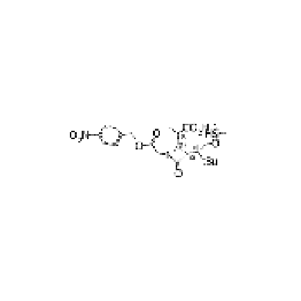 C[C@@H](C(=O)O)[C@@H]1[C@H]([C@@H](CO[SiH](C)C)C(C)(C)C)C(=O)N1CC(=O)OCc1ccc([N+](=O)[O-])cc1